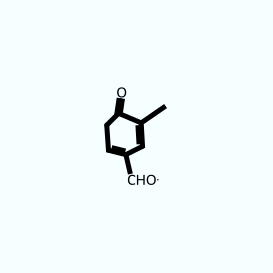 CC1=CC([C]=O)=CCC1=O